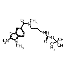 CN(CCCNC(=O)OC(C)(C)C)C(=O)c1ccc2c(c1)nc(N)n2C